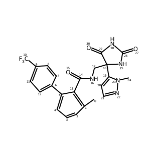 Cc1cccc(-c2ccc(C(F)(F)F)cc2)c1C(=O)NCC1(c2ccnn2C)NC(=O)NC1=O